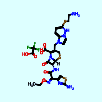 CCO/N=C(\C(=O)N[C@@H]1C(=O)N2C(C(=O)O)=C(CN3C=CN4NC(SCCN)=CC=C34)CS[C@@H]12)c1csc(N)n1.O=C(O)C(F)(F)F